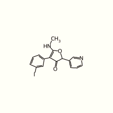 CNC1=C(c2cccc(I)c2)C(=O)C(c2cccnc2)O1